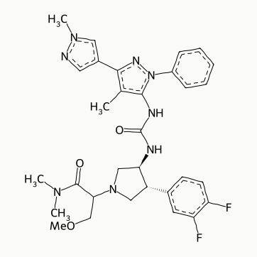 COCC(C(=O)N(C)C)N1C[C@@H](NC(=O)Nc2c(C)c(-c3cnn(C)c3)nn2-c2ccccc2)[C@H](c2ccc(F)c(F)c2)C1